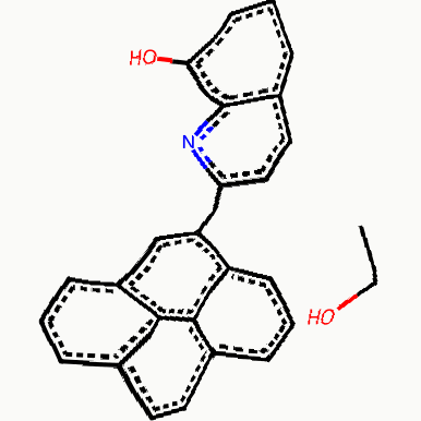 CCO.Oc1cccc2ccc(-c3cc4cccc5ccc6cccc3c6c54)nc12